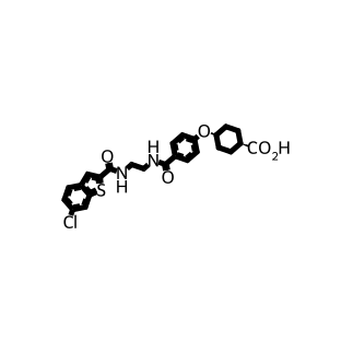 O=C(NCCNC(=O)c1cc2ccc(Cl)cc2s1)c1ccc(O[C@H]2CC[C@@H](C(=O)O)CC2)cc1